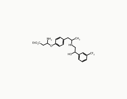 CCOC(=O)CC(N)Oc1ccc(CC(C)NCC(O)c2cccc(C(F)(F)F)c2)cc1